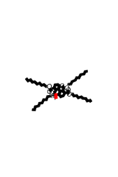 CCCCCCCCCCOC(=O)c1cccc(-c2c(C(F)(F)F)ccc(C(=O)OCCCCCCCCCC)c2C(=O)OCCCCCCCCCC)c1C(=O)OCCCCCCCCCC